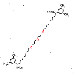 CCCCCCCCCC(CCCCCCCCOCC=COC=CCOCCCCCCCCC(CCCCCCCCC)c1cc(C)cc(C)c1)c1cc(C)cc(C)c1